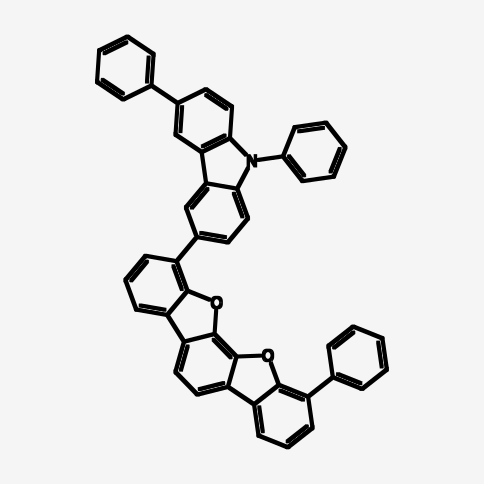 c1ccc(-c2ccc3c(c2)c2cc(-c4cccc5c4oc4c5ccc5c6cccc(-c7ccccc7)c6oc54)ccc2n3-c2ccccc2)cc1